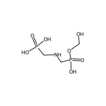 O=P(O)(O)CNCP(=O)(O)OCO